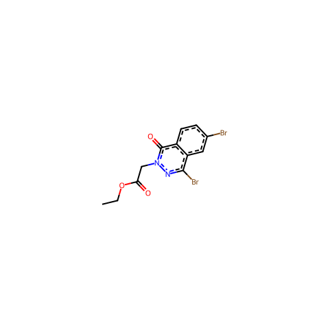 CCOC(=O)Cn1nc(Br)c2cc(Br)ccc2c1=O